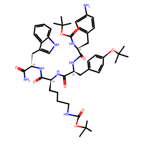 CC(C)(C)OC(=O)NCCCC[C@H](NC(=O)[C@H](Cc1ccc(OC(C)(C)C)cc1)NC(=O)[C@H](Cc1ccc(N)cc1)NC(=O)OC(C)(C)C)C(=O)N[C@@H](Cc1c[nH]c2ccccc12)C(N)=O